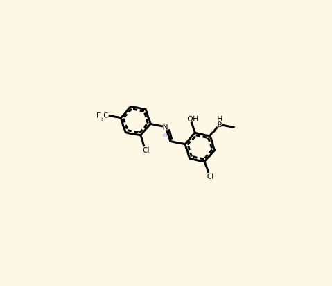 CBc1cc(Cl)cc(/C=N/c2ccc(C(F)(F)F)cc2Cl)c1O